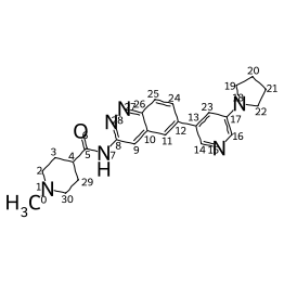 CN1CCC(C(=O)Nc2cc3cc(-c4cncc(N5CCCC5)c4)ccc3nn2)CC1